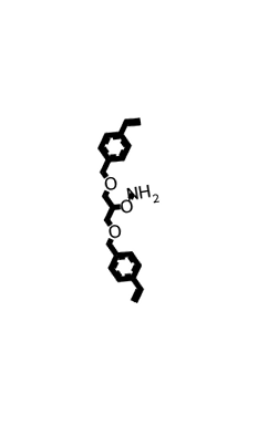 C=Cc1ccc(COCC(COCc2ccc(C=C)cc2)ON)cc1